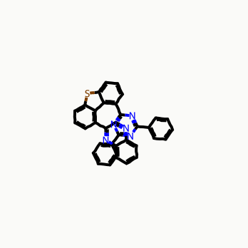 c1ccc(-c2nc(-c3ccccc3)nc(-c3cccc4sc5cccc(-c6cnc7ccccc7n6)c5c34)n2)cc1